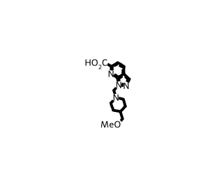 COCC1CCN(Cn2ncc3ccc(C(=O)O)nc32)CC1